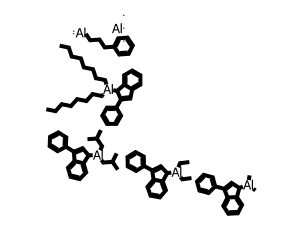 CC(C)[CH2][Al]([CH2]C(C)C)[CH]1C=C(c2ccccc2)c2ccccc21.CCCCCCC[CH2][Al]([CH2]CCCCCCC)[CH]1C(c2ccccc2)=Cc2ccccc21.C[CH2][Al]([CH2]C)[CH]1C=C(c2ccccc2)c2ccccc21.[Al].[Al][CH2]CCc1ccccc1.[CH3][Al]([CH3])[CH]1C=C(c2ccccc2)c2ccccc21